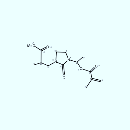 C=C(C)C(=O)OC(C)N1CCN(CC(C)C(=O)OC)C1=O